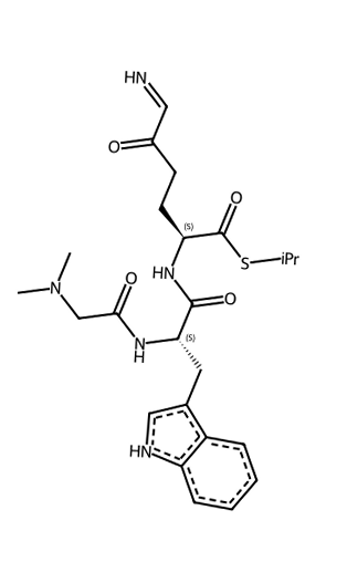 CC(C)SC(=O)[C@H](CCC(=O)C=N)NC(=O)[C@H](Cc1c[nH]c2ccccc12)NC(=O)CN(C)C